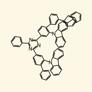 c1ccc(-c2cccc(-c3ccc(-c4nc(-c5ccccc5)nc(-c5ccc(-c6ccccc6)c(-n6c7ccccc7c7ccccc76)c5)n4)cc3-n3c4ccccc4c4cc(-c5ccccc5)ccc43)c2)cc1